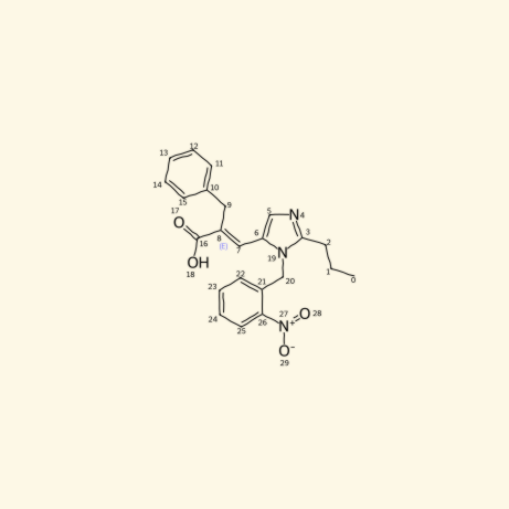 CCCc1ncc(/C=C(\Cc2ccccc2)C(=O)O)n1Cc1ccccc1[N+](=O)[O-]